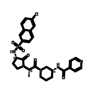 C[C@@H](C(=O)N1CCC[C@@H](NC(=O)c2ccncc2)C1)N1CC[C@H](NS(=O)(=O)c2ccc3cc(Cl)ccc3c2)C1=O